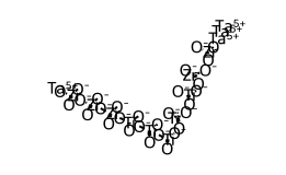 [O]=[Ti]([O-])[O-].[O]=[Ti]([O-])[O-].[O]=[Ti]([O-])[O-].[O]=[Ti]([O-])[O-].[O]=[Ti]([O-])[O-].[O]=[Zr]([O-])[O-].[O]=[Zr]([O-])[O-].[O]=[Zr]([O-])[O-].[O]=[Zr]([O-])[O-].[O]=[Zr]([O-])[O-].[Ta+5].[Ta+5].[Ta+5].[Ta+5]